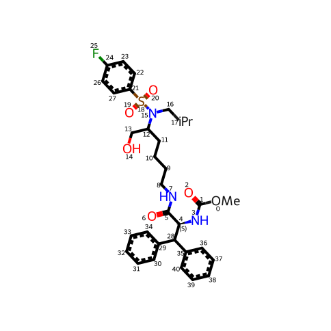 COC(=O)N[C@H](C(=O)NCCCCC(CO)N(CC(C)C)S(=O)(=O)c1ccc(F)cc1)C(c1ccccc1)c1ccccc1